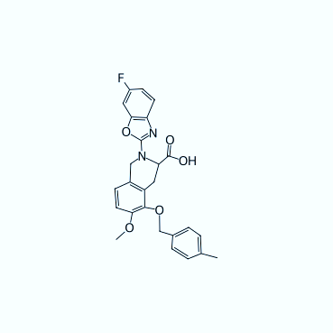 COc1ccc2c(c1OCc1ccc(C)cc1)CC(C(=O)O)N(c1nc3ccc(F)cc3o1)C2